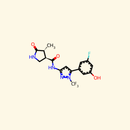 C[C@H]1C(=O)NC[C@@H]1C(=O)Nc1cc(-c2cc(O)cc(F)c2)n(C(F)(F)F)n1